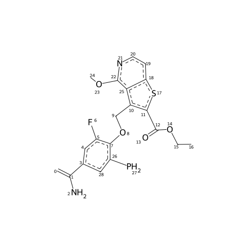 C=C(N)c1cc(F)c(OCc2c(C(=O)OCC)sc3ccnc(OC)c23)c(P)c1